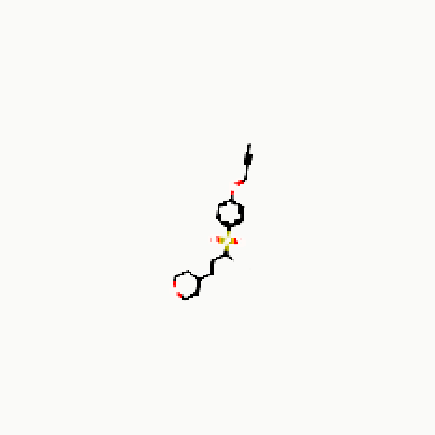 CC#CCOc1ccc(S(=O)(=O)C(CCC2CCOCC2)C(=O)O)cc1